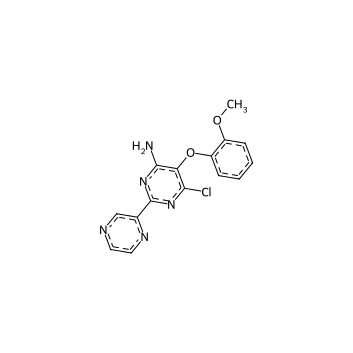 COc1ccccc1Oc1c(N)nc(-c2cnccn2)nc1Cl